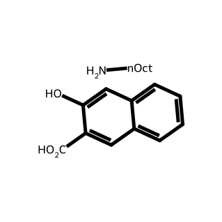 CCCCCCCCN.O=C(O)c1cc2ccccc2cc1O